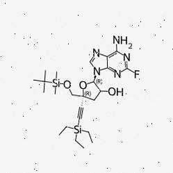 CC[Si](C#C[C@@]1(CO[Si](C)(C)C(C)(C)C)CC(O)[C@H](n2cnc3c(N)nc(F)nc32)O1)(CC)CC